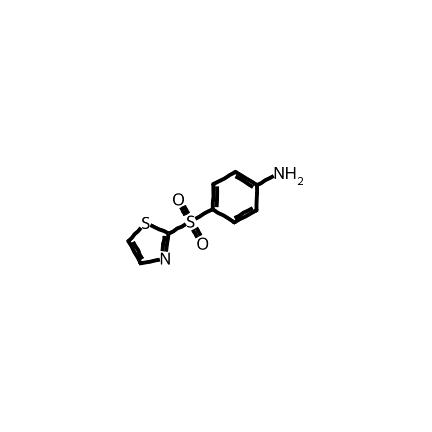 Nc1ccc(S(=O)(=O)c2nccs2)cc1